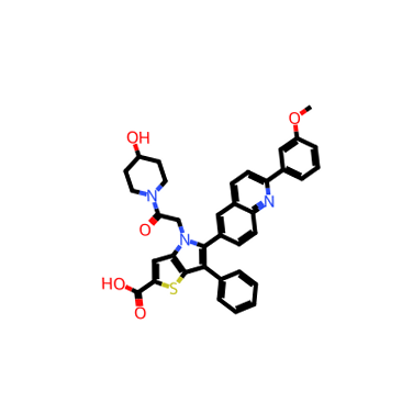 COc1cccc(-c2ccc3cc(-c4c(-c5ccccc5)c5sc(C(=O)O)cc5n4CC(=O)N4CCC(O)CC4)ccc3n2)c1